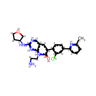 Cc1cccc(-c2ccc(-c3cc4cnc(N[C@H]5CCOC5)nc4n(CCN)c3=O)c(Cl)c2)n1